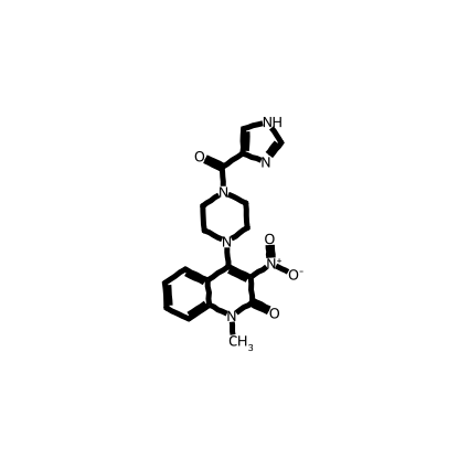 Cn1c(=O)c([N+](=O)[O-])c(N2CCN(C(=O)c3c[nH]cn3)CC2)c2ccccc21